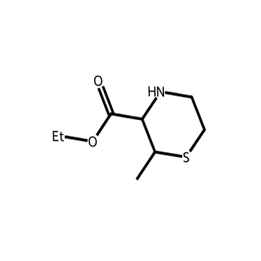 CCOC(=O)C1NCCSC1C